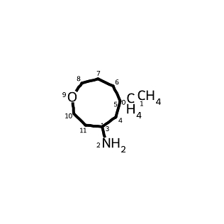 C.C.N[C]1CCCCCOCC1